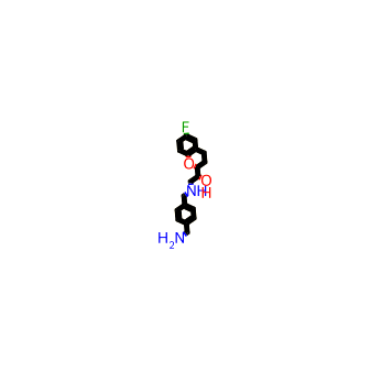 NCc1ccc(CNCC(O)C2CCc3cc(F)ccc3O2)cc1